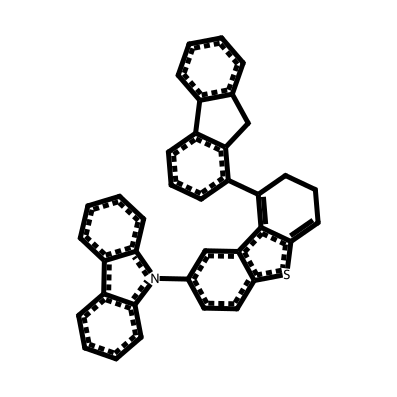 C1=c2sc3ccc(-n4c5ccccc5c5ccccc54)cc3c2=C(c2cccc3c2Cc2ccccc2-3)CC1